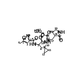 Cc1cc(C(=O)NC(CC2(C)CC2)C(=O)NN(CC2CCNC2=O)C(=O)OC(C)(C)C)no1